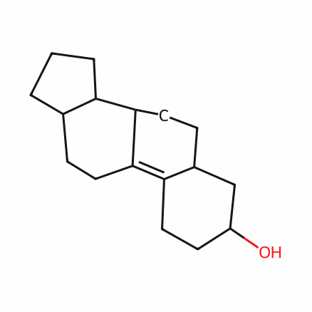 OC1CCC2=C3CCC4CCCC4C3CCC2C1